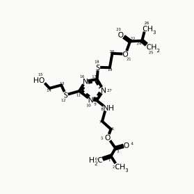 C=C(C)C(=O)OCCNc1nc(SCCO)nc(SCCOC(=O)C(=C)C)n1